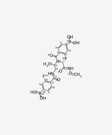 CONC(=O)CN(C(=O)c1ccc(B(O)O)cc1F)C(C)CNC(=O)c1ccc(B(O)O)cc1F